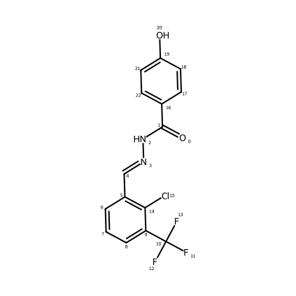 O=C(N/N=C/c1cccc(C(F)(F)F)c1Cl)c1ccc(O)cc1